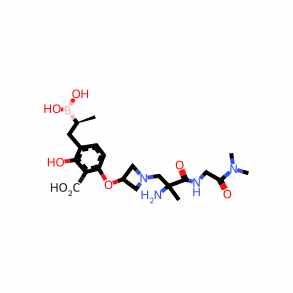 C[C@@H](Cc1ccc(OC2CN(CC(C)(N)C(=O)NCC(=O)N(C)C)C2)c(C(=O)O)c1O)B(O)O